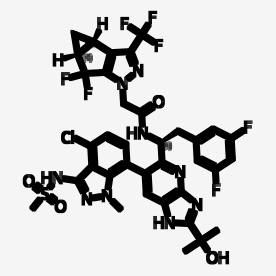 Cn1nc(NS(C)(=O)=O)c2c(Cl)ccc(-c3cc4[nH]c(C(C)(C)O)nc4nc3[C@H](Cc3cc(F)cc(F)c3)NC(=O)Cn3nc(C(F)(F)F)c4c3C(F)(F)[C@@H]3C[C@H]43)c21